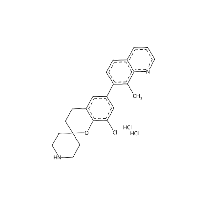 Cc1c(-c2cc(Cl)c3c(c2)CCC2(CCNCC2)O3)ccc2cccnc12.Cl.Cl